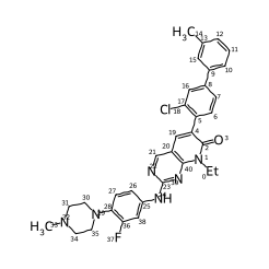 CCn1c(=O)c(-c2ccc(-c3cccc(C)c3)cc2Cl)cc2cnc(Nc3ccc(N4CCN(C)CC4)c(F)c3)nc21